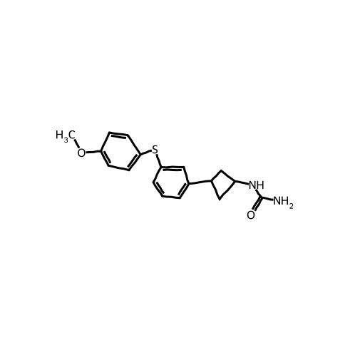 COc1ccc(Sc2cccc(C3CC(NC(N)=O)C3)c2)cc1